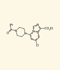 CCOC(=O)c1ncn2c(N3CCN(C(=O)C(C)C)CC3)cc(Cl)cc12